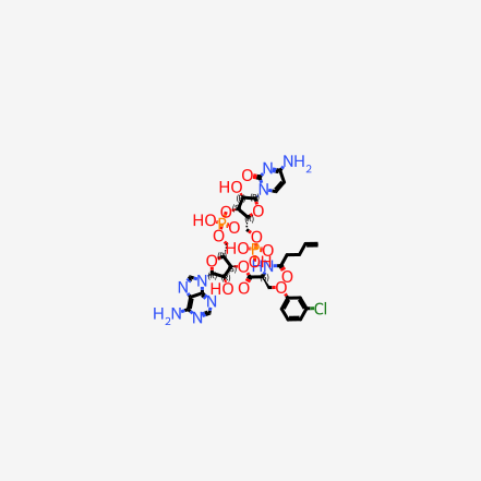 C=CCCC(=O)N[C@@H](COc1cccc(Cl)c1)C(=O)O[C@H]1[C@@H](O)[C@H](n2cnc3c(N)ncnc32)O[C@@H]1COP(=O)(O)O[C@H]1[C@@H](O)[C@H](n2ccc(N)nc2=O)O[C@@H]1COP(=O)(O)O